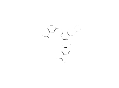 CN(C)C(=O)c1cccc(Oc2nc(Oc3cc(C(=N)N)ccc3O)c(Cl)c(OC3CCOC3)c2Cl)c1